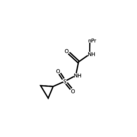 CCCNC(=O)NS(=O)(=O)C1CC1